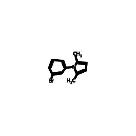 Cc1ccc(C)n1-c1cccc(Br)c1